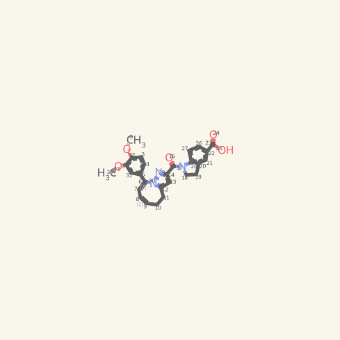 COc1ccc(/C2=C/C=C\CCc3cc(C(=O)N4CCc5cc(C(=O)O)ccc54)nn32)cc1OC